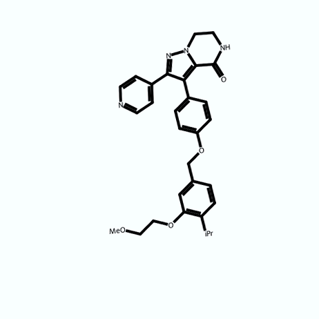 COCCOc1cc(COc2ccc(-c3c(-c4ccncc4)nn4c3C(=O)NCC4)cc2)ccc1C(C)C